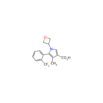 Cc1c(C(=O)O)cn(C2COC2)c1-c1ccccc1C(F)(F)F